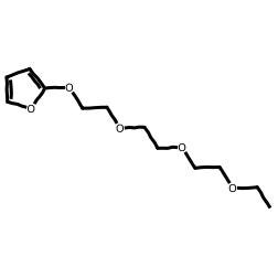 CCOCCOCCOCCOc1ccco1